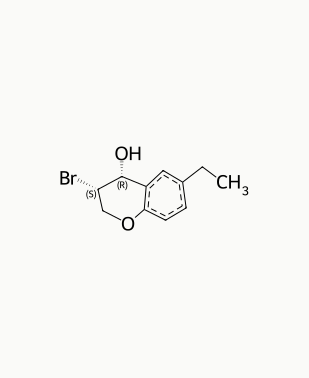 CCc1ccc2c(c1)[C@@H](O)[C@@H](Br)CO2